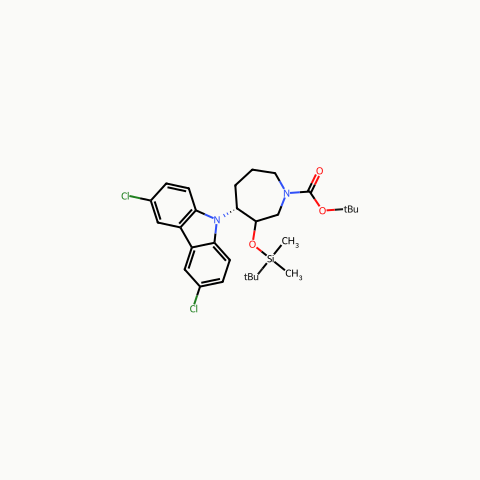 CC(C)(C)OC(=O)N1CCC[C@@H](n2c3ccc(Cl)cc3c3cc(Cl)ccc32)C(O[Si](C)(C)C(C)(C)C)C1